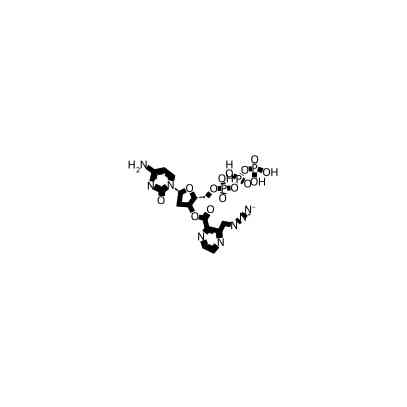 [N-]=[N+]=NCc1nccnc1C(=O)OC1C[C@H](n2ccc(N)nc2=O)O[C@@H]1COP(=O)(O)OP(=O)(O)OP(=O)(O)O